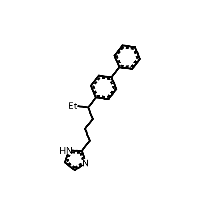 CCC(CCCc1ncc[nH]1)c1ccc(-c2ccccc2)cc1